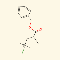 CC(C[Si](C)(C)F)C(=O)OCc1ccccc1